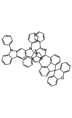 c1ccc(-c2nc(-c3ccccc3)nc(-c3cccc4c3-c3c(-c5ccc6c(c5)c5cc7c8ccccc8n(-c8ccccc8)c7cc5n6-c5ccccc5)cccc3C43c4ccccc4Oc4ccccc43)n2)cc1